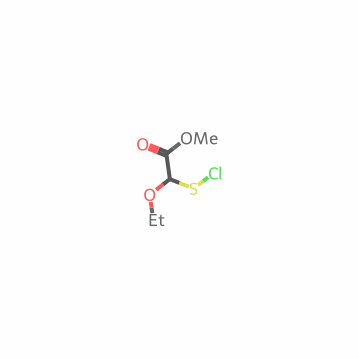 CCOC(SCl)C(=O)OC